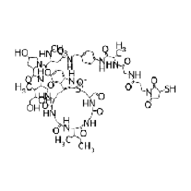 CCC(C)C1NC(=O)CNC(=O)C(NC(=O)C(NC(=O)C2CC(O)CN2C(=O)C(CC(=O)NCc2ccc(NC(=O)[C@H](C)NC(=O)CNC(=O)CCN3C(=O)CC(S)C3=O)cc2)NC)C(C)C(O)CO)Cc2c([nH]c3ccccc23)[S+]([O-])CC(C=O)NC(=O)CNC1=O